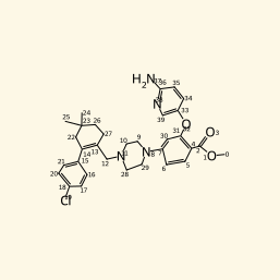 COC(=O)c1ccc(N2CCN(CC3=C(c4ccc(Cl)cc4)CC(C)(C)CC3)CC2)cc1Oc1ccc(N)nc1